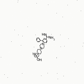 N=C(N)c1ccc(N2CCN(C3CCC(O)(CC(=O)O)CC3)CC2)c(-c2ccccc2)c1